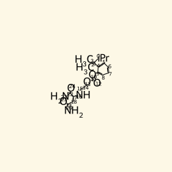 CC(C)C(C)(C)c1ccccc1OC(=O)OCCN[C@@H](CC(N)=O)C(N)=O